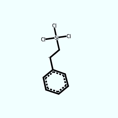 Cl[Si](Cl)(Cl)C[CH]c1ccccc1